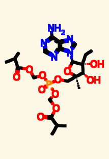 CC[C@]1(O)[C@H](n2cnc3c(N)ncnc32)O[C@](C)(COP(=O)(OCOC(=O)C(C)C)OCOC(=O)C(C)C)[C@H]1O